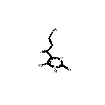 CCc1[nH]c(=O)[nH]c1C(=O)CCS